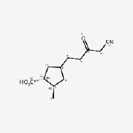 C[C@@H]1CC(CCC(=O)CC#N)C[C@H]1C(=O)O